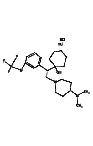 CN(C)C1CCN(C[C@H](c2cccc(OC(F)(F)F)c2)C2(O)CCCCC2)CC1.Cl.Cl